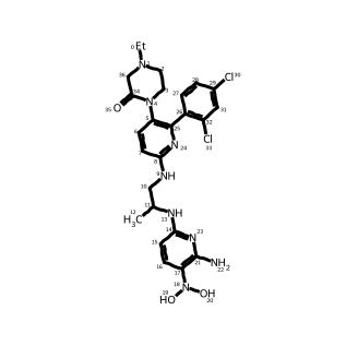 CCN1CCN(c2ccc(NCC(C)Nc3ccc(N(O)O)c(N)n3)nc2-c2ccc(Cl)cc2Cl)C(=O)C1